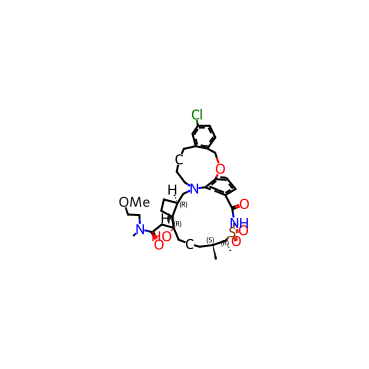 COCCN(C)C(=O)C[C@]1(O)CCC[C@H](C)[C@@H](C)S(=O)(=O)NC(=O)c2ccc3c(c2)N(CCCCc2cc(Cl)ccc2CO3)C[C@@H]2CC[C@H]21